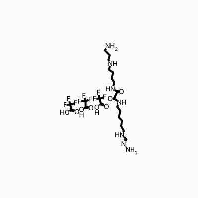 NCCCNCCCCNC(=O)C(=O)NCCCCCCNC=NN.O=C(O)C(F)(F)F.O=C(O)C(F)(F)F.O=C(O)C(F)(F)F